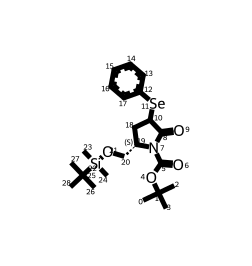 CC(C)(C)OC(=O)N1C(=O)C([Se]c2ccccc2)C[C@H]1CO[Si](C)(C)C(C)(C)C